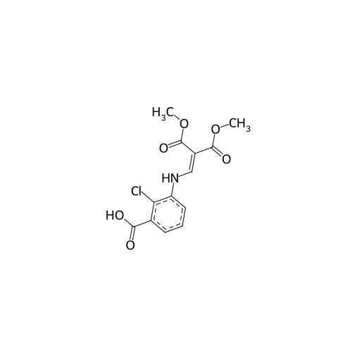 COC(=O)C(=CNc1cccc(C(=O)O)c1Cl)C(=O)OC